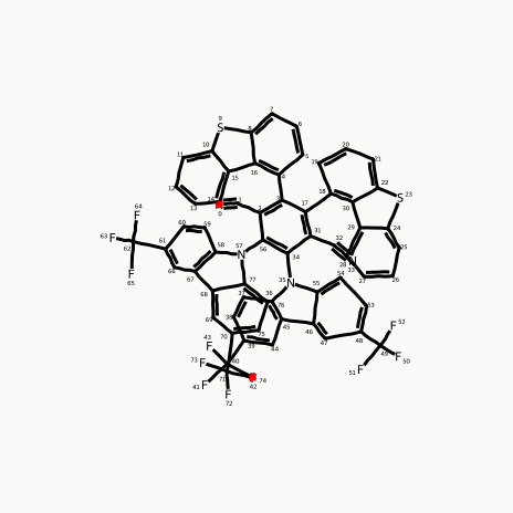 N#Cc1c(-c2cccc3sc4ccccc4c23)c(-c2cccc3sc4ccccc4c23)c(C#N)c(-n2c3ccc(C(F)(F)F)cc3c3cc(C(F)(F)F)ccc32)c1-n1c2ccc(C(F)(F)F)cc2c2cc(C(F)(F)F)ccc21